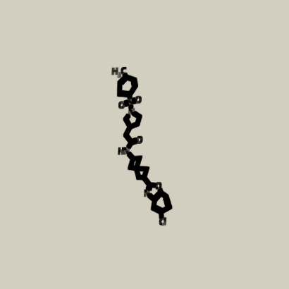 Cc1ccc(S(=O)(=O)N2CCC(CC(=O)NC3CC4(C3)CC(c3nc5cc(Cl)ccc5o3)C4)C2)cc1